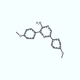 COc1ccc(-c2cnc(N)c(-c3ccc(OC)cc3)n2)cc1